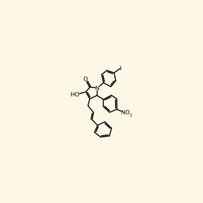 O=C1C(O)=C(C/C=C/c2ccccc2)C(c2ccc([N+](=O)[O-])cc2)N1c1ccc(I)cc1